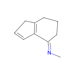 CN=C1CCCC2=C1C=CC2